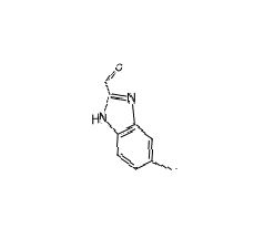 [CH2]c1ccc2[nH]c(C=O)nc2c1